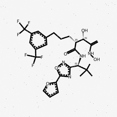 C=C(NO)[C@@H](O)[C@@H](CCCc1cc(C(F)(F)F)cc(C(F)(F)F)c1)C(=O)N[C@H](c1noc(-c2ccco2)n1)C(C)(C)C